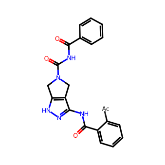 CC(=O)c1ccccc1C(=O)Nc1n[nH]c2c1CN(C(=O)NC(=O)c1ccccc1)C2